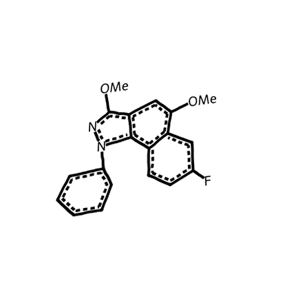 COc1cc2c(OC)nn(-c3ccccc3)c2c2ccc(F)cc12